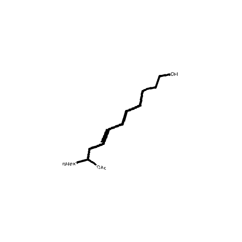 CCCCCCC(CC=CCCCCCCO)OC(C)=O